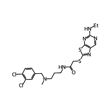 CCNc1ncc2nc(SCC(=O)NCCCN(C)Cc3ccc(Cl)c(Cl)c3)sc2n1